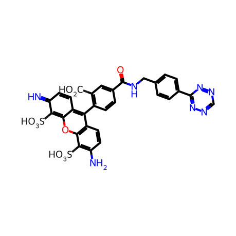 N=c1ccc2c(-c3ccc(C(=O)NCc4ccc(-c5nncnn5)cc4)cc3C(=O)O)c3ccc(N)c(S(=O)(=O)O)c3oc-2c1S(=O)(=O)O